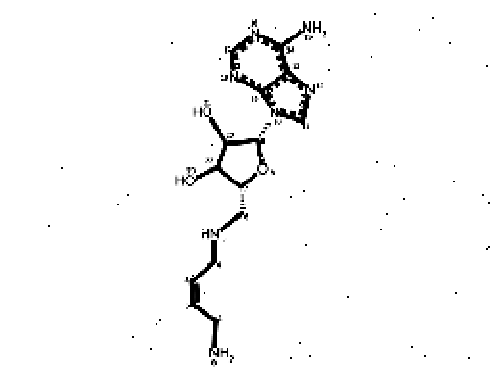 NC/C=C\CNC[C@H]1O[C@@H](n2cnc3c(N)ncnc32)C(O)C1O